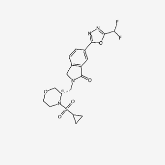 O=C1c2cc(-c3nnc(C(F)F)o3)ccc2CN1C[C@H]1COCCN1S(=O)(=O)C1CC1